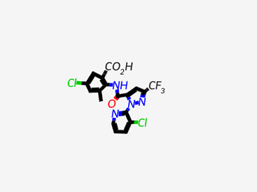 Cc1cc(Cl)cc(C(=O)O)c1NC(=O)c1cc(C(F)(F)F)nn1-c1ncccc1Cl